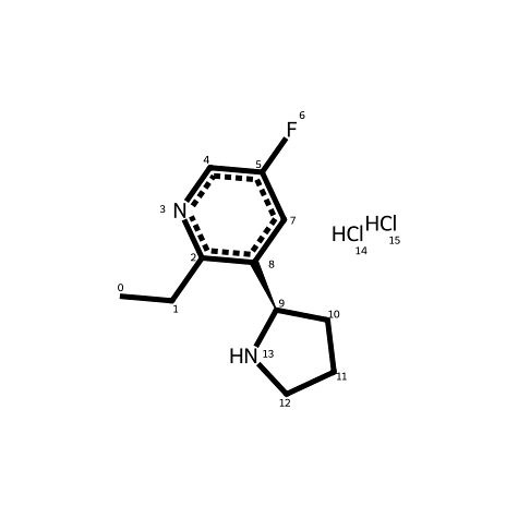 CCc1ncc(F)cc1[C@H]1CCCN1.Cl.Cl